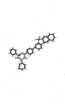 CC1(C)c2cc(-c3ccc(C4N=C(c5ccccc5)NC(c5ccccc5)N4)cc3)ccc2-c2cc3ccccc3cc21